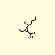 CCCC[S+]([O-])N1C(CC)C1C(=O)O